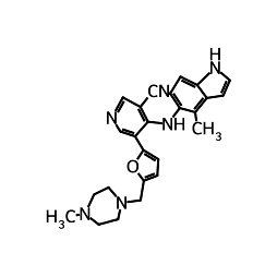 Cc1c(Nc2c(C#N)cncc2-c2ccc(CN3CCN(C)CC3)o2)ccc2[nH]ccc12